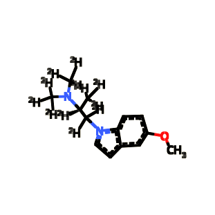 [2H]C([2H])([2H])N(C([2H])([2H])[2H])[C@]([2H])(C([2H])([2H])[2H])C([2H])([2H])n1ccc2cc(OC)ccc21